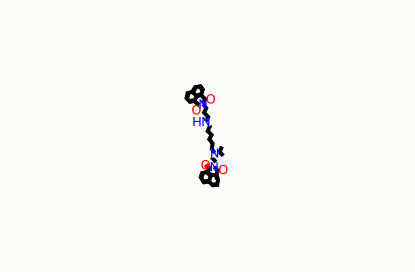 CC(C)N(CCCCCCNCCCN1C(=O)c2cccc3cccc(c23)C1=O)CCN1C(=O)c2cccc3cccc(c23)C1=O